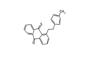 Cc1ccc(CCc2cccc3c2C(=S)c2ccccc2C3=O)cc1